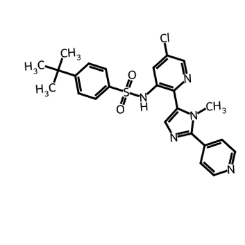 Cn1c(-c2ncc(Cl)cc2NS(=O)(=O)c2ccc(C(C)(C)C)cc2)cnc1-c1ccncc1